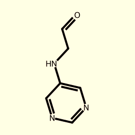 O=CCNc1cncnc1